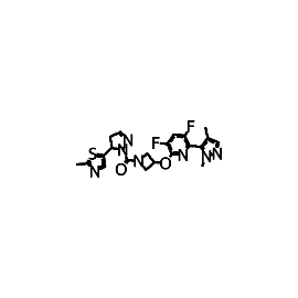 Cc1ncc(C2CC=NN2C(=O)N2CC(Oc3nc(-c4c(C)cnn4C)c(F)cc3F)C2)s1